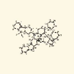 CC1(C)c2ccccc2-c2ccc(N(c3ccc4c(c3)C3(c5ccccc5-c5ccccc5-4)c4ccccc4-c4ccccc43)c3ccc4oc5ccccc5c4c3)cc21